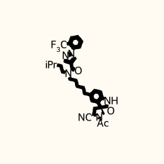 CC(=O)N1C[C@]2(C[C@H]1C#N)C(=O)Nc1ccc(CCCCCN(CCC(C)C)C(=O)c3cnn(-c4ccccc4C(F)(F)F)c3)cc12